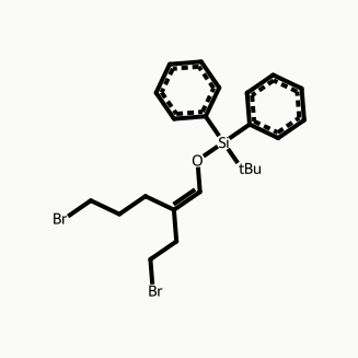 CC(C)(C)[Si](OC=C(CCBr)CCCBr)(c1ccccc1)c1ccccc1